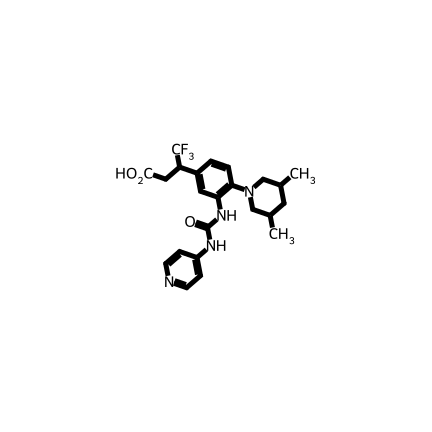 CC1CC(C)CN(c2ccc(C(CC(=O)O)C(F)(F)F)cc2NC(=O)Nc2ccncc2)C1